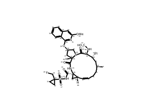 CC[C@@H]1C[C@@H](C)CCC=C[C@@H]2C[C@@]2(C(=O)NS(=O)(=O)C2(CF)CC2)NC(=O)[C@@H]2C[C@@H](Oc3nc(OC)cc4ccccc34)CN2C(=O)[C@H]1NC(=O)O